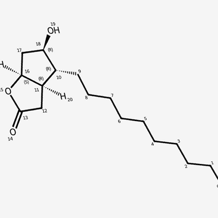 CCCCCCCCCC[C@@H]1[C@H]2CC(=O)O[C@H]2C[C@H]1O